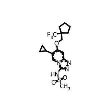 CS(=O)(=O)Nc1nnc2cc(OCC3(C(F)(F)F)CCCC3)c(C3CC3)cn12